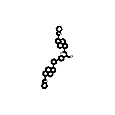 CC/C=C(\C=C(/CC)c1ccc2ccc3c(-c4cc5c(s4)CCC=C5)ccc4ccc1c2c43)c1ccc(-c2cccc(-c3ccc4ccc5c(-c6cc7ccccc7s6)ccc6ccc3c4c65)c2)cc1